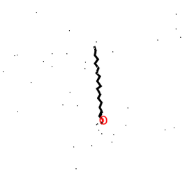 [CH2]O/C=C/CCCCCCCCCCCCCCC